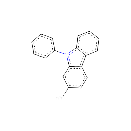 CCCc1ccc2c3ccccc3n(-c3ccccc3)c2c1